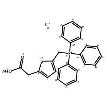 COC(=O)Cc1ccc(C[P+](c2ccccc2)(c2ccccc2)c2ccccc2)s1.[Cl-]